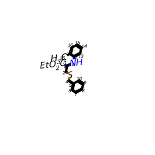 CCOC(=O)[C@H](CSCc1ccccc1)Nc1ccccc1C